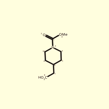 COC(=O)N1CCC(CC(=O)O)CC1